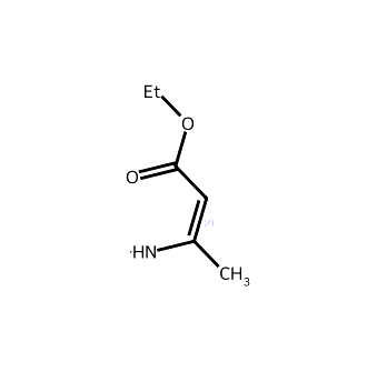 CCOC(=O)/C=C(/C)[NH]